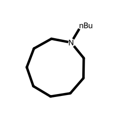 CCCCN1CCCCCCCC1